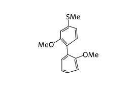 COc1ccccc1-c1ccc(SC)cc1OC